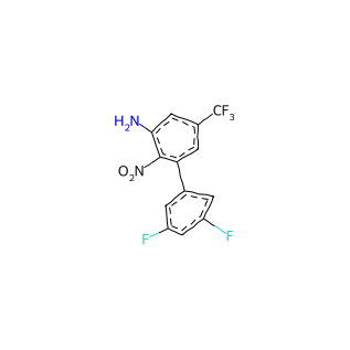 Nc1cc(C(F)(F)F)cc(-c2cc(F)cc(F)c2)c1[N+](=O)[O-]